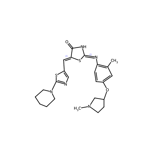 Cc1cc(OC2CCN(C)C2)ccc1/N=C1/NC(=O)/C(=C/c2cnc(N3CCCCC3)s2)S1